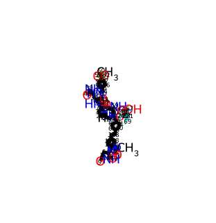 Cn1c(=O)n(C2CCC(=O)NC2=O)c2ccc(CCC3CCC(C(=O)N4CC[C@H]5CC[C@@H](C(=O)N[C@@H](CCC(N)=O)C(=O)NCc6ccc(S(C)(=O)=O)cc6)N5C(=O)[C@@H](N)C4)CC3)cc21.O=C(O)C(F)(F)F